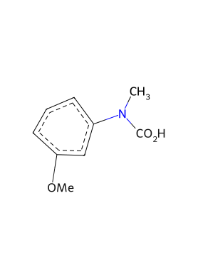 COc1cccc(N(C)C(=O)O)c1